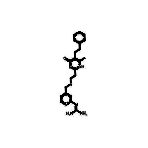 Cc1[nH]c(CCSCc2ccnc(N=C(N)N)c2)nc(=O)c1CCc1ccccc1